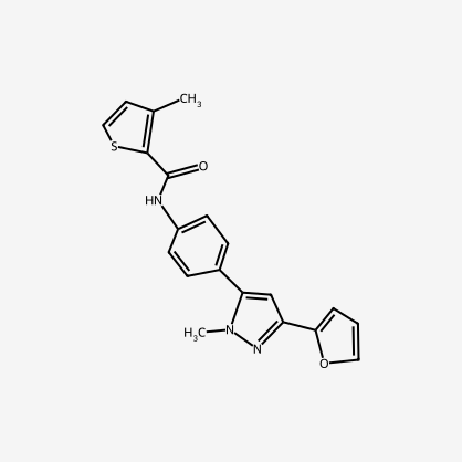 Cc1ccsc1C(=O)Nc1ccc(-c2cc(-c3ccco3)nn2C)cc1